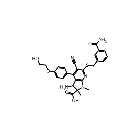 CN1c2nc(SCc3cccc(C(N)=O)c3)c(C#N)c(-c3ccc(OCCO)cc3)c2C(N)C1(C)C(=O)O